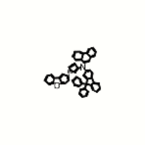 C1=C[C@@H](c2ccc3oc4ccccc4c3c2)C=C1N(c1ccc2c(c1)C(c1ccccc1)(c1ccccc1)c1ccccc1-2)c1cc2ccccc2c2ccccc12